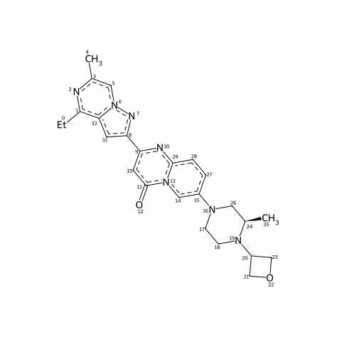 CCc1nc(C)cn2nc(-c3cc(=O)n4cc(N5CCN(C6COC6)[C@H](C)C5)ccc4n3)cc12